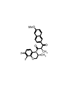 COc1ccc2cc(C(=O)[C@@H](C)C(=O)N3c4ccc(F)c(F)c4OC[C@@H]3C)ccc2c1